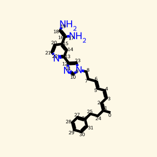 C\C(=C/C=C\C=C\CCn1cnc(-c2cc(/C(N)=C/N)ccn2)c1)CCc1ccccc1